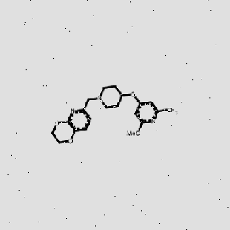 COc1cc(OC2CCN(Cc3ccc4c(n3)OCCO4)CC2)cc(C)n1